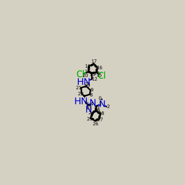 CN(C)c1nc(N[C@H]2CC[C@@H](NCc3c(Cl)cccc3Cl)CC2)nc2ccccc12